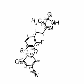 Cn1c(CCc2ccc(Br)c(Oc3cc(Cl)cc(C#N)c3)c2F)n[nH]c1=O